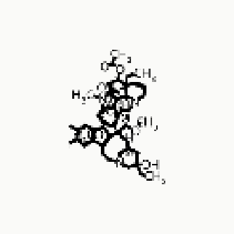 CC[C@]1(O)C[C@H]2CN(CCC3=C(Cc4cc(I)c(I)cc43)[C@@](C(=O)OC)(c3cc4c(cc3OC)N(C)[C@@]35O[C@]3(C(=O)OC)[C@H](OC(C)=O)[C@]3(CC)C=CCN6CC[C@]45[C@@H]63)C2)C1